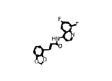 O=C(/C=C/c1cccc2c1OCO2)Nc1ccnc2c(F)cc(F)cc12